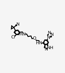 N#CC1(c2cc(Cl)cc(CNCCCCOCCNc3cc(-n4cnnc4)cc4[nH]ncc34)c2)CC1